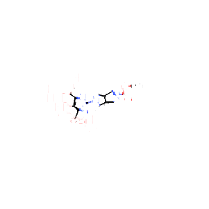 Bc1c(C(B)(B)B)nc(N2CC3CN(C(=O)OC(C)(C)C)CC3C2)nc1C(B)(B)B